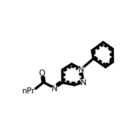 CCCC(=O)N=c1ccn(-c2ccccc2)nc1